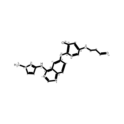 Cn1ccc(Nc2ncnc3ccc(Oc4ncc(OCCC=O)cc4Cl)cc23)n1